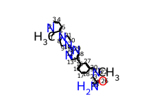 Cc1ncccc1N1CCN(c2ncc(-c3cccc(CN(C)CC(N)=O)c3)cn2)CC1